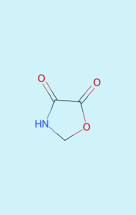 O=C1NCOC1=O